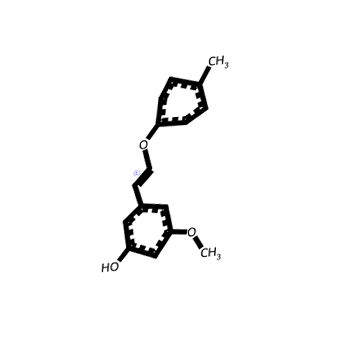 COc1cc(O)cc(/C=C/Oc2ccc(C)cc2)c1